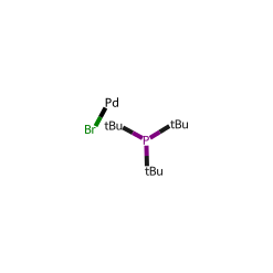 CC(C)(C)P(C(C)(C)C)C(C)(C)C.[Br][Pd]